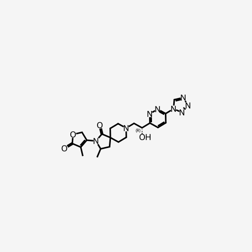 CC1=C(N2C(=O)C3(CCN(C[C@@H](O)c4ccc(-n5cnnn5)nn4)CC3)CC2C)COC1=O